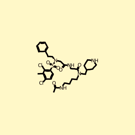 CC(=O)NCCCCN(CC1CCNCC1)C(=O)CNC(=O)CN(CCc1ccccc1)S(=O)(=O)c1ccc(Cl)c(C)c1Cl